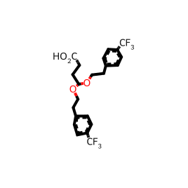 O=C(O)CCC(OCCc1ccc(C(F)(F)F)cc1)OCCc1ccc(C(F)(F)F)cc1